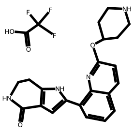 O=C(O)C(F)(F)F.O=C1NCCc2[nH]c(-c3cccc4ccc(OC5CCNCC5)nc34)cc21